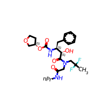 CCCNC(=O)CN(CC(C)(F)F)C(=O)[C@@H](O)[C@H](Cc1ccccc1)NC(=O)O[C@H]1CCOC1